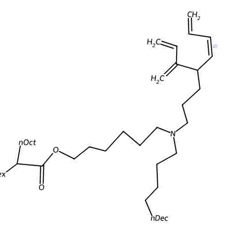 C=C/C=C\C(CCCN(CCCCCCCCCCCCCC)CCCCCCOC(=O)C(CCCCCC)CCCCCCCC)C(=C)C=C